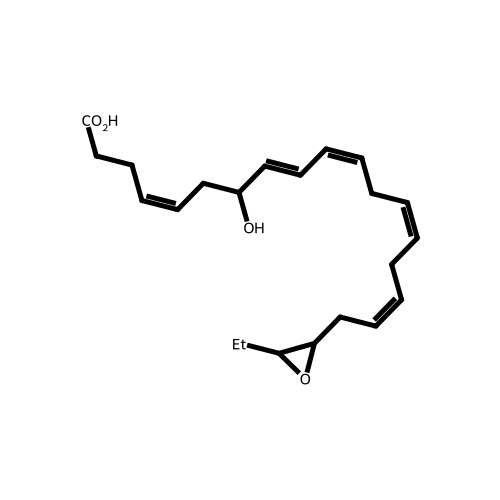 CCC1OC1C/C=C\C/C=C\C/C=C\C=C\C(O)C/C=C\CCC(=O)O